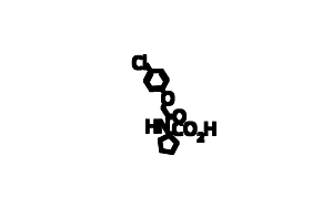 O=C(COc1ccc(Cl)cc1)NC1(C(=O)O)CCCC1